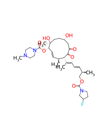 C/C(=C\C=C\[C@@H](C)COC(=O)N1CC[C@@H](F)C1)[C@H]1C(=O)C(=O)C[C@@H](O)CC[C@](C)(O)[C@@H](OC(=O)N2CCN(C)CC2)/C=C/[C@@H]1C